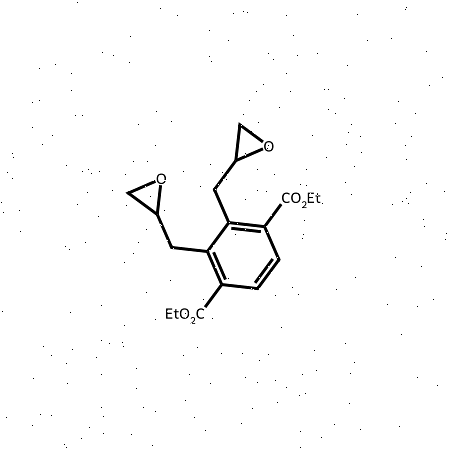 CCOC(=O)c1ccc(C(=O)OCC)c(CC2CO2)c1CC1CO1